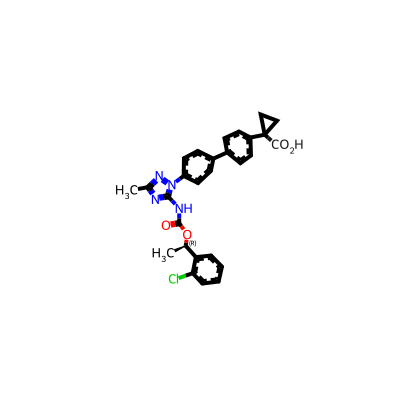 Cc1nc(NC(=O)O[C@H](C)c2ccccc2Cl)n(-c2ccc(-c3ccc(C4(C(=O)O)CC4)cc3)cc2)n1